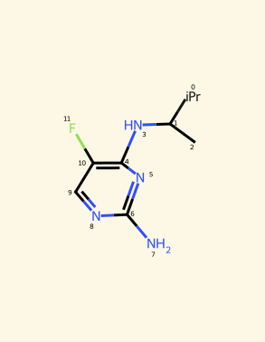 CC(C)C(C)Nc1nc(N)ncc1F